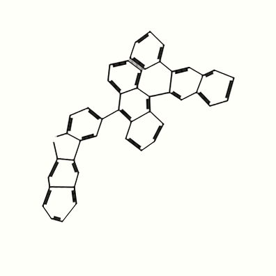 c1ccc(-c2cc3ccccc3cc2-c2c3ccccc3c(-c3ccc4oc5cc6ccccc6cc5c4c3)c3ccccc23)cc1